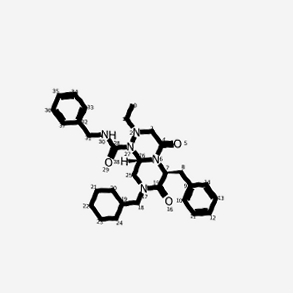 CCN1CC(=O)N2[C@@H](Cc3ccccc3)C(=O)N(CC3CCCCC3)C[C@@H]2N1C(=O)NCc1ccccc1